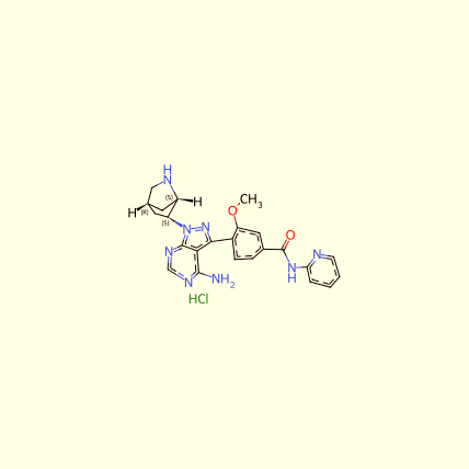 COc1cc(C(=O)Nc2ccccn2)ccc1-c1nn([C@H]2C[C@@H]3CN[C@H]2C3)c2ncnc(N)c12.Cl